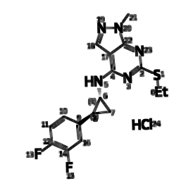 CCSc1nc(N[C@@H]2C[C@H]2c2ccc(F)c(F)c2)c2cnn(C)c2n1.Cl